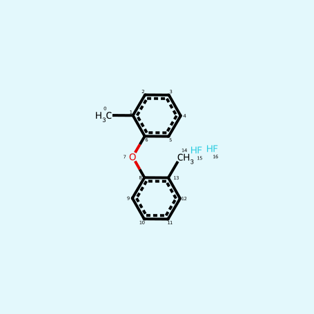 Cc1ccccc1Oc1ccccc1C.F.F